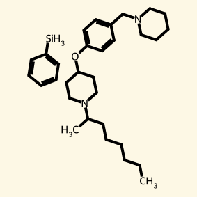 CCCCCCC(C)N1CCC(Oc2ccc(CN3CCCCC3)cc2)CC1.[SiH3]c1ccccc1